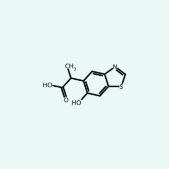 CC(C(=O)O)c1cc2ncsc2cc1O